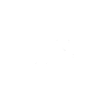 C[C@H]1[C@H](C)N(c2cccc(Cl)c2)CCN1C(=O)c1ccc([S+]([O-])CC(=O)c2ccccc2F)c(Cl)c1